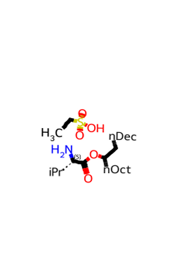 CCCCCCCCCCCC(CCCCCCCC)OC(=O)[C@@H](N)C(C)C.CCS(=O)(=O)O